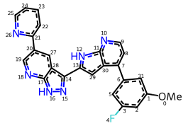 COc1cc(F)cc(-c2ccnc3[nH]c(-c4n[nH]c5ncc(-c6ccccn6)cc45)cc23)c1